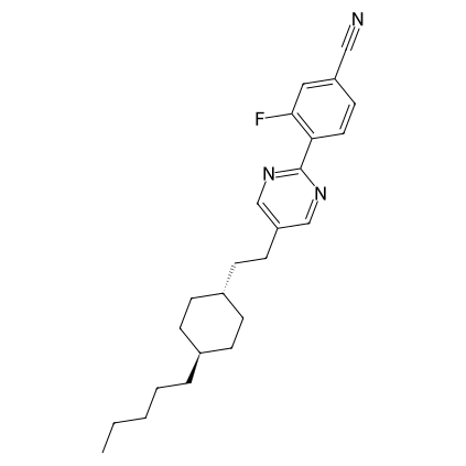 CCCCC[C@H]1CC[C@H](CCc2cnc(-c3ccc(C#N)cc3F)nc2)CC1